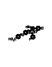 CCCCn1cc(-c2ccc(Cl)cc2Cl)nc1[C@H](Cc1ccc(OCc2ccc(C(=O)O)cc2)cc1)NC(=O)c1cccc(F)c1